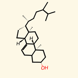 CC(C)C(C)CC[C@@H](C)[C@H]1CC[C@H]2C3=CCC4C[C@@H](O)CC[C@]4(C)[C@H]3CC[C@]12C